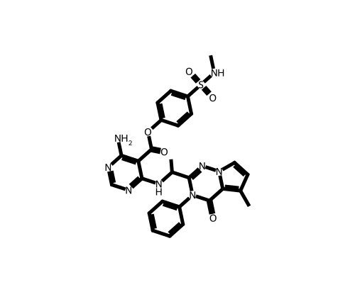 CNS(=O)(=O)c1ccc(OC(=O)c2c(N)ncnc2NC(C)c2nn3ccc(C)c3c(=O)n2-c2ccccc2)cc1